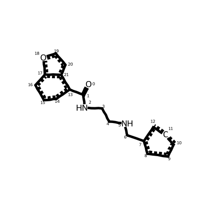 O=C(NCCNCc1ccccc1)c1cccc2occc12